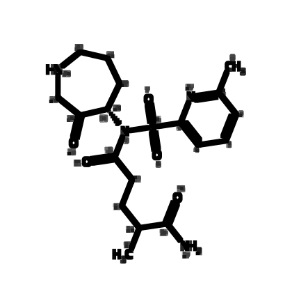 Cc1cccc(S(=O)(=O)N(C(=O)[CH]CC(C)C(N)=O)[C@H]2CCCNCC2=O)n1